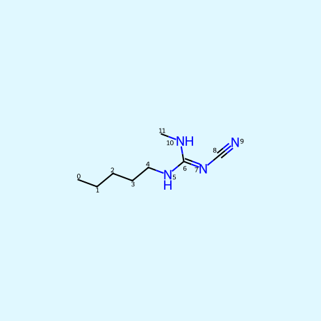 CCCCCN/C(=N/C#N)NC